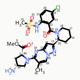 COC(=O)[C@H]1C[C@@H](N)CN1c1nc2cc([C@@H]3CCCCN3C(=O)c3cc(Cl)ccc3NS(C)(=O)=O)nn2cc1C